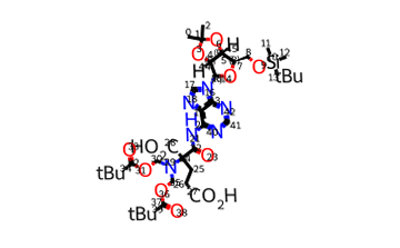 CC1(C)O[C@@H]2[C@H](O1)[C@@H](CO[Si](C)(C)C(C)(C)C)O[C@H]2n1cnc2c(NC(=O)C(CCC(=O)O)(C(=O)O)N(COC(=O)C(C)(C)C)COC(=O)C(C)(C)C)ncnc21